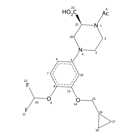 CC(=O)N1CCN(c2ccc(OC(F)F)c(OCC3CC3)c2)C[C@H]1C(=O)O